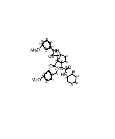 COc1ccc(CN2C(=O)C3C(C(=O)Nc4cccc(OC)c4)C4C=CC3(O4)C2C(=O)NC2CCCCC2C)cc1